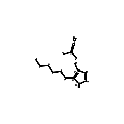 CC(C)=O.CCCCCCc1[nH]cc[n+]1C.[Cl-]